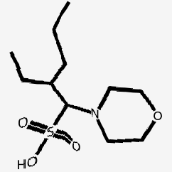 CCCC(CC)C(N1CCOCC1)S(=O)(=O)O